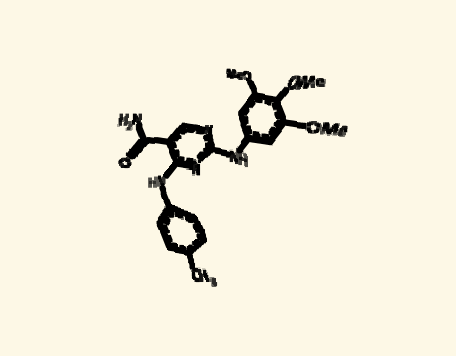 COc1cc(Nc2ncc(C(N)=O)c(Nc3ccc(C)cc3)n2)cc(OC)c1OC